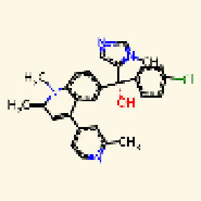 C=C1C=C(c2ccnc(C)c2)c2cc([C@](O)(c3ccc(Cl)cc3)c3cncn3C)ccc2N1C